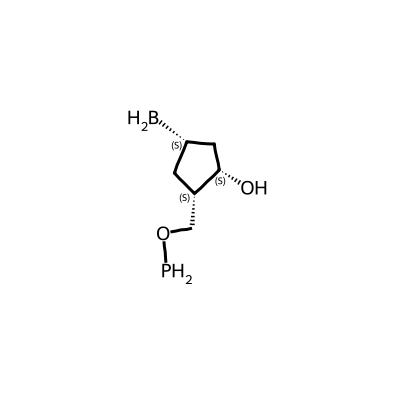 B[C@H]1C[C@@H](COP)[C@@H](O)C1